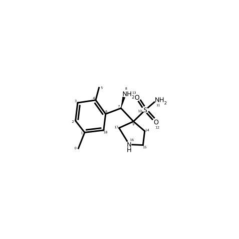 Cc1ccc(C)c([C@@H](N)C2(S(N)(=O)=O)CCNC2)c1